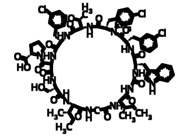 CC[C@H](C)[C@@H]1NC(=O)CNC(=O)[C@H]([C@@H](C)CC)NC(=O)[C@H](CO)NC(=O)C(C(=O)N2CCC[C@H]2C(=O)O)NC(=O)[C@H](Cc2cccc(Cl)c2)NC(=O)[C@H]([C@@H](C)O)NC(=O)[C@H](Cc2ccc(Cl)cc2)N(C)C(=O)[C@H](Cc2cccc(Cl)c2)NC(=O)[C@H](Cc2c[nH]c3ccccc23)NC(=O)NC1=O